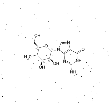 CC1[C@@H](CO)O[C@H](n2cnc3c(=O)[nH]c(N)nc32)[C@@H](O)[C@H]1O